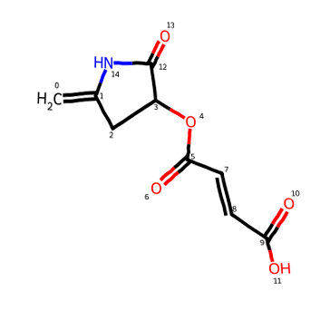 C=C1CC(OC(=O)/C=C/C(=O)O)C(=O)N1